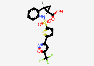 C[C@]1(c2ccccc2)C[C@@]1(NS(=O)(=O)c1ccc(-c2cc(C(F)(F)F)on2)s1)C(=O)O